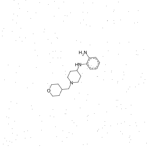 Nc1ccccc1NC1CCN(CC2CCOCC2)CC1